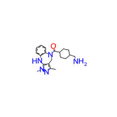 Cc1nn(C)c2c1CN(C(=O)C1CCC(CN)CC1)c1ccccc1N2